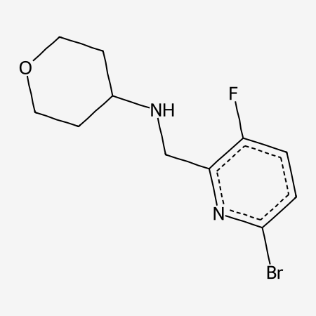 Fc1ccc(Br)nc1CNC1CCOCC1